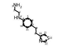 NCCNc1ccc(CCc2cs[c]n2)cc1